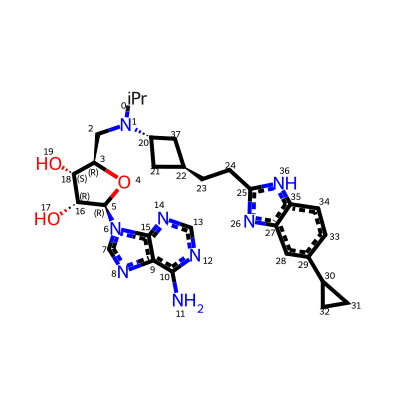 CC(C)N(C[C@H]1O[C@@H](n2cnc3c(N)ncnc32)[C@H](O)[C@@H]1O)[C@H]1C[C@H](CCc2nc3cc(C4CC4)ccc3[nH]2)C1